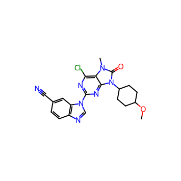 COC1CCC(n2c(=O)n(C)c3c(Cl)nc(-n4cnc5ccc(C#N)cc54)nc32)CC1